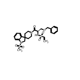 C=CS(=O)(=O)N[C@H](COCc1ccccc1)C(=O)N1CCC2(CC1)CN(S(C)(=O)=O)c1ccccc12